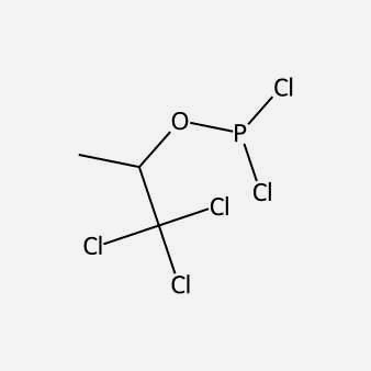 CC(OP(Cl)Cl)C(Cl)(Cl)Cl